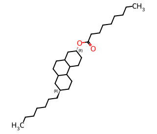 CCCCCCCCC(=O)O[C@@H]1CCC2C(CCC3C[C@H](CCCCCCC)CCC32)C1